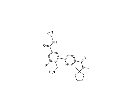 CN(C(=O)c1ccc(-c2cc(C(=O)NC3CC3)cc(F)c2CN)nc1)C1(C)CCCC1